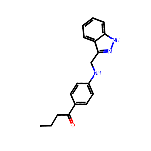 CCCC(=O)c1ccc(NCc2n[nH]c3ccccc23)cc1